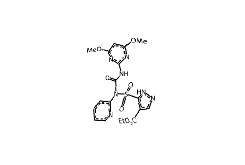 CCOC(=O)c1cn[nH]c1S(=O)(=O)N(C(=O)Nc1nc(OC)cc(OC)n1)c1ccccn1